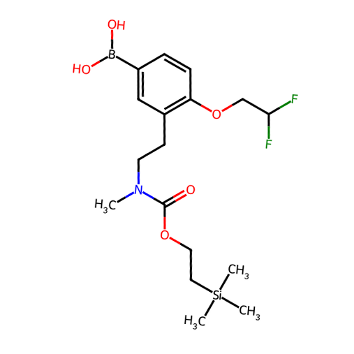 CN(CCc1cc(B(O)O)ccc1OCC(F)F)C(=O)OCC[Si](C)(C)C